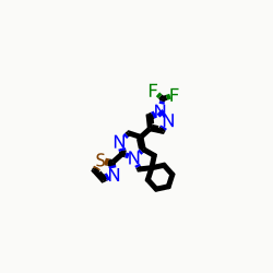 FC(F)n1cc(C2=C3CC4(CCCCC4)CN3C(c3nccs3)=NC2)cn1